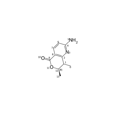 CC1c2nc(N)ccc2C(=O)O[C@@H]1C